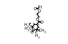 CCC(=O)OCCOC(=O)C1CC(C)(C)N([O])C(C)(C)C1